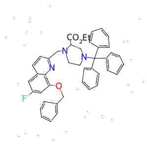 CCOC(=O)C1CN(C(c2ccccc2)(c2ccccc2)c2ccccc2)CCN1Cc1ccc2cc(F)cc(OCc3ccccc3)c2n1